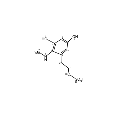 CCCCNc1c(O)cc(O)cc1CCOS(=O)(=O)O